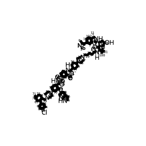 Cc1ncsc1-c1ccc([C@H](C)NC(=O)[C@@H]2C[C@@H](O)CN2C(=O)C(NC(=O)CCCCN2CCN(C3CCC(CNc4ccc(S(=O)(=O)NC(=O)c5ccc(N6CCN(CC7=C(c8ccc(Cl)cc8)CC(C)(C)CC7)CC6)cc5Oc5cnc6[nH]ccc6c5)cc4[N+](=O)[O-])CC3)CC2)C(C)(C)C)cc1